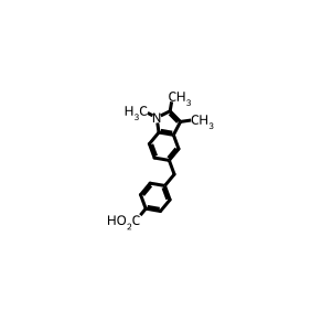 Cc1c(C)n(C)c2ccc(Cc3ccc(C(=O)O)cc3)cc12